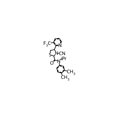 Cc1ccc(N(C(=O)C2SCC(c3ncccc3C(F)(F)F)N2C#N)C(C)C)cc1C